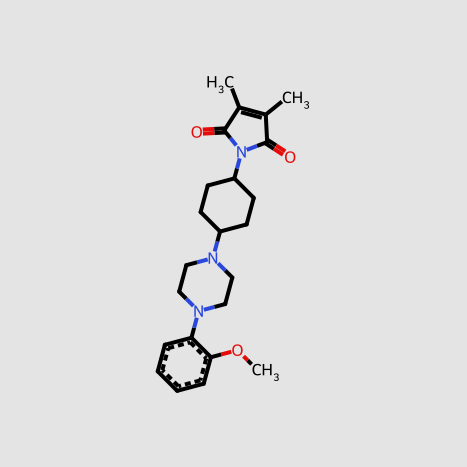 COc1ccccc1N1CCN(C2CCC(N3C(=O)C(C)=C(C)C3=O)CC2)CC1